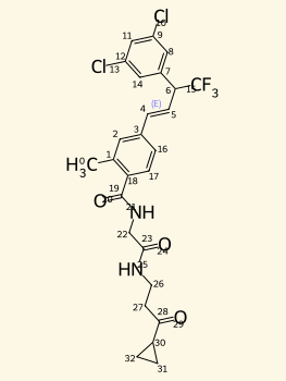 Cc1cc(/C=C/C(c2cc(Cl)cc(Cl)c2)C(F)(F)F)ccc1C(=O)NCC(=O)NCCC(=O)C1CC1